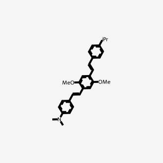 COc1cc(/C=C/c2ccc(N(C)C)cc2)c(OC)cc1/C=C/c1ccc(C(C)C)cc1